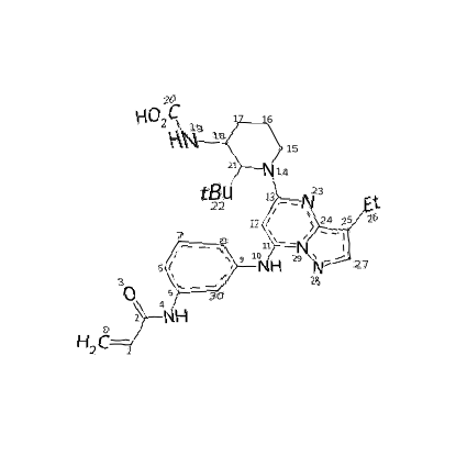 C=CC(=O)Nc1cccc(Nc2cc(N3CCCC(NC(=O)O)C3C(C)(C)C)nc3c(CC)cnn23)c1